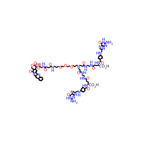 CC[C@]1(OC(=O)CNC(=O)CCC(=O)NCCCOCCOCCOCCCN(CCC(=O)NCCNC(=O)CCC(NC(=O)c2ccc(NCc3cnc4c(=O)[nH]c(N)nc4n3)cc2)C(=O)O)CCC(=O)NCCNC(=O)CCC(NC(=O)c2ccc(NCc3cnc4c(=O)[nH]c(N)nc4n3)cc2)C(=O)O)C(=O)OCc2c1cc1n(c2=O)Cc2cc3ccccc3nc2-1